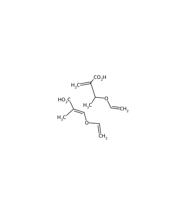 C=COC(C)C(=C)C(=O)O.C=COC=C(C)C(=O)O